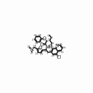 CCCCOc1c(CC(NC(=O)COc2ccccc2)c2ccc(CN(C)C)o2)cc(Cl)c2cccnc12